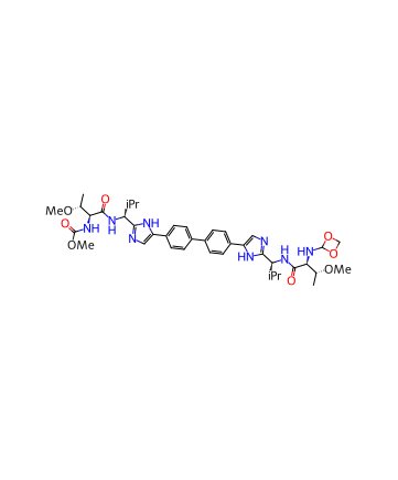 COC(=O)N[C@H](C(=O)N[C@H](c1ncc(-c2ccc(-c3ccc(-c4cnc([C@@H](NC(=O)[C@@H](NC5OCO5)[C@@H](C)OC)C(C)C)[nH]4)cc3)cc2)[nH]1)C(C)C)[C@@H](C)OC